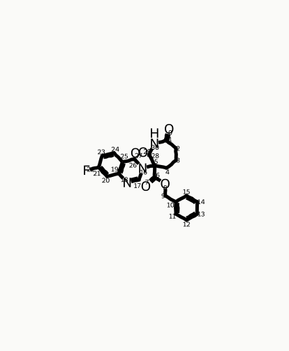 O=C1CCCC(C(=O)OCc2ccccc2)(n2cnc3cc(F)ccc3c2=O)C(=O)N1